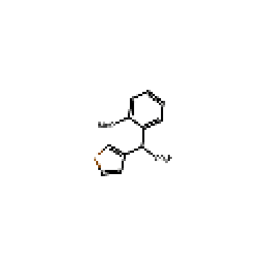 COc1ccccc1C(C(=O)O)c1ccsc1